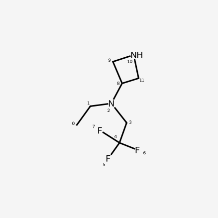 CCN(CC(F)(F)F)C1CNC1